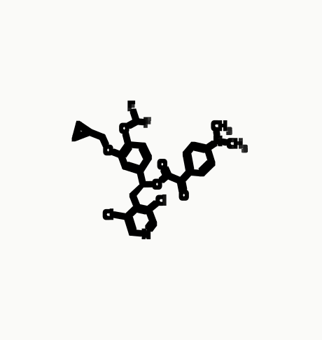 CN(C)c1ccc(C(=O)C(=O)O[C@@H](Cc2c(Cl)cncc2Cl)c2ccc(OC(F)F)c(OCC3CC3)c2)cc1